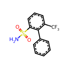 NS(=O)(=O)c1cccc(C(F)(F)F)c1-c1ccccc1